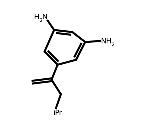 C=C(CC(C)C)c1cc(N)cc(N)c1